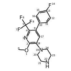 COc1nc(C(F)(F)F)c(-c2ccc(F)cc2)cc1N1CCNCC1